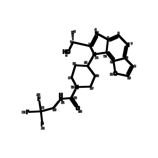 C[C@@H](O)c1nc2cnc3ccoc3c2n1C1CCN(C(=O)NCC(F)(F)F)CC1